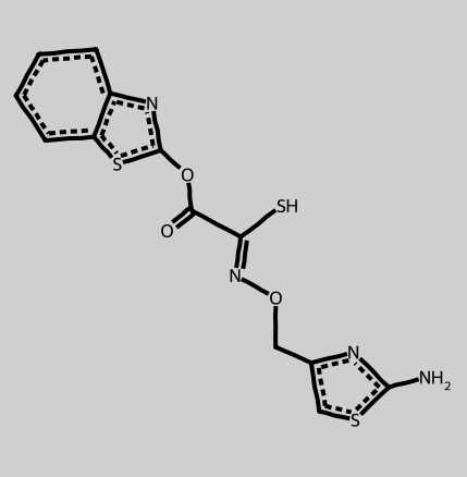 Nc1nc(CON=C(S)C(=O)Oc2nc3ccccc3s2)cs1